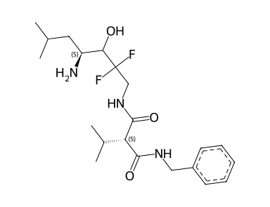 CC(C)C[C@H](N)C(O)C(F)(F)CNC(=O)[C@H](C(=O)NCc1ccccc1)C(C)C